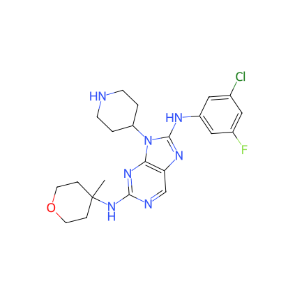 CC1(Nc2ncc3nc(Nc4cc(F)cc(Cl)c4)n(C4CCNCC4)c3n2)CCOCC1